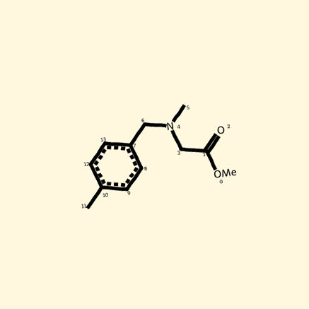 COC(=O)CN(C)Cc1ccc(C)cc1